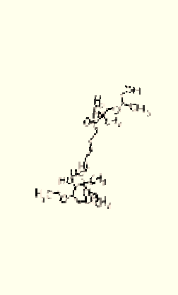 CCOC(CO)C(O)C(C)(OCC)[PH](=O)CCCCC[PH](=O)C(C)(C)COC(C)CO